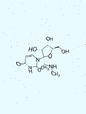 CNC(C)[C@@]1(n2ccc(=O)[nH]c2=O)O[C@H](CO)[C@@H](O)[C@H]1O